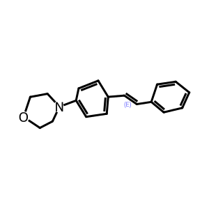 C(=C\c1ccc(N2CCOCC2)cc1)/c1ccccc1